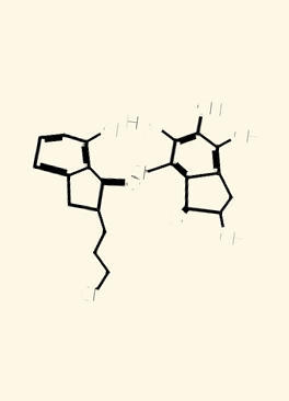 Cc1c(C)c(Cl)c2c(c1C)CC(C)C2=O.O=C1c2c(Cl)cccc2CC1CCCCl